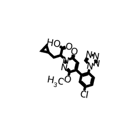 COc1nn(C(CC2CC2)C(=O)O)c(=O)cc1-c1cc(Cl)ccc1-n1cnnn1